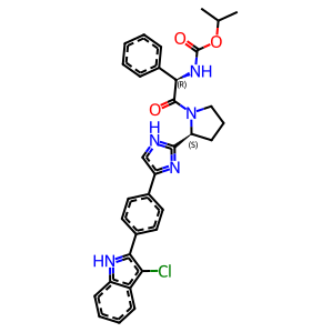 CC(C)OC(=O)N[C@@H](C(=O)N1CCC[C@H]1c1nc(-c2ccc(-c3[nH]c4ccccc4c3Cl)cc2)c[nH]1)c1ccccc1